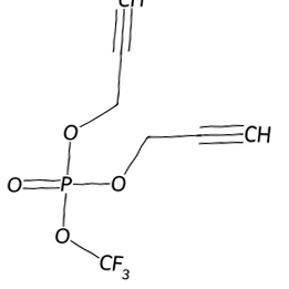 C#CCOP(=O)(OCC#C)OC(F)(F)F